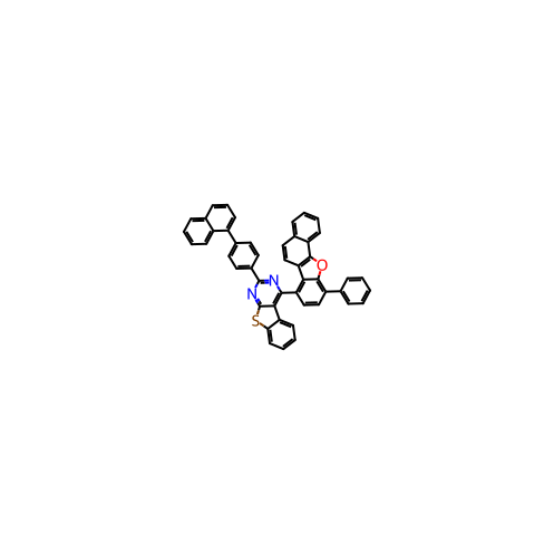 c1ccc(-c2ccc(-c3nc(-c4ccc(-c5cccc6ccccc56)cc4)nc4sc5ccccc5c34)c3c2oc2c4ccccc4ccc23)cc1